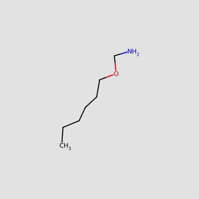 CCCCCCOCN